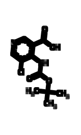 CC(C)(C)OC(=O)Nc1c(Cl)cncc1C(=O)O